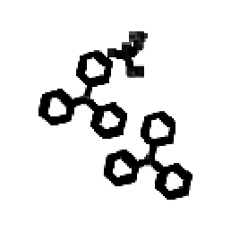 Br.O=[SH](=O)O.c1ccc(P(c2ccccc2)c2ccccc2)cc1.c1ccc(P(c2ccccc2)c2ccccc2)cc1